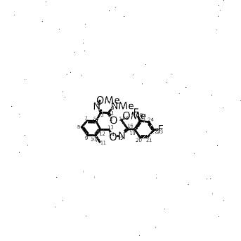 CNC(=O)/C(=N\OC)c1cccc(C)c1CO/N=C(\COC)c1ccc(F)cc1F